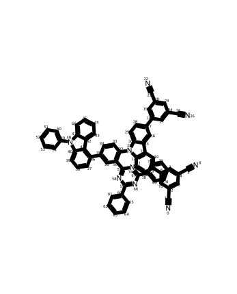 N#Cc1cc(C#N)cc(-c2ccc3c(c2)c2cc(-c4cc(C#N)cc(C#N)c4)ccc2n3-c2ccc(-c3cccc4c3c3ccccc3n4-c3ccccc3)cc2-c2nc(-c3ccccc3)nc(-c3ccccc3)n2)c1